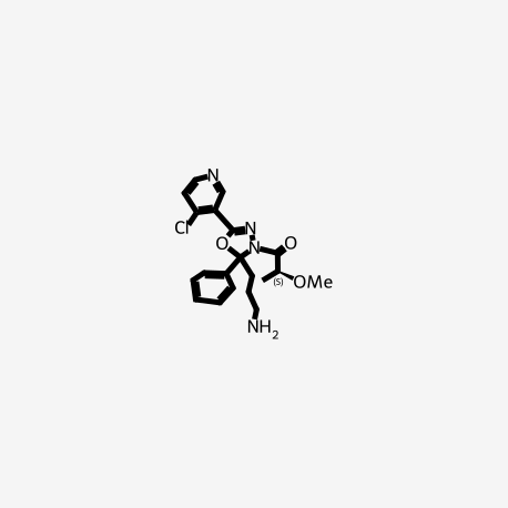 CO[C@@H](C)C(=O)N1N=C(c2cnccc2Cl)OC1(CCCN)c1ccccc1